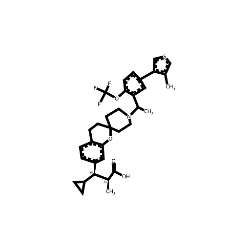 Cc1cscc1-c1ccc(OC(F)(F)F)c(C(C)N2CCC3(CCc4ccc([C@H](C5CC5)[C@H](C)C(=O)O)cc4O3)CC2)c1